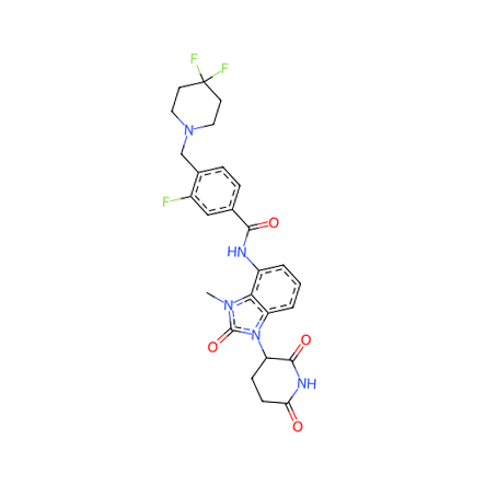 Cn1c(=O)n(C2CCC(=O)NC2=O)c2cccc(NC(=O)c3ccc(CN4CCC(F)(F)CC4)c(F)c3)c21